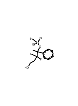 CC[Si](CC)(CC)OC(C)(c1ccccc1)C(F)(F)CCO